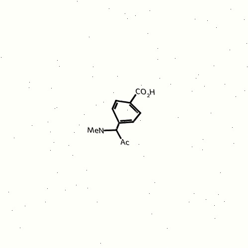 CNC(C(C)=O)c1ccc(C(=O)O)cc1